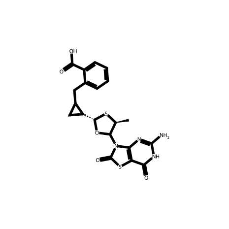 C[C@@H]1S[C@@H](C2CC2Cc2ccccc2C(=O)O)OC1n1c(=O)sc2c(=O)[nH]c(N)nc21